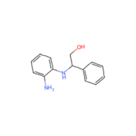 Nc1ccccc1NC(CO)c1ccccc1